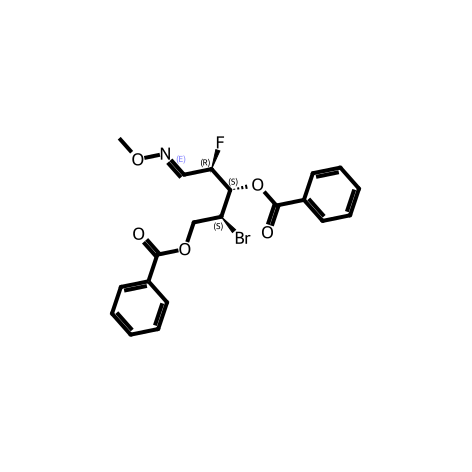 CO/N=C/[C@@H](F)[C@H](OC(=O)c1ccccc1)[C@@H](Br)COC(=O)c1ccccc1